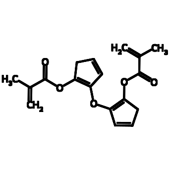 C=C(C)C(=O)OC1=C(OC2=C(OC(=O)C(=C)C)CC=C2)C=CC1